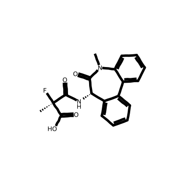 CN1C(=O)[C@@H](NC(=O)[C@](C)(F)C(=O)O)c2ccccc2-c2ccccc21